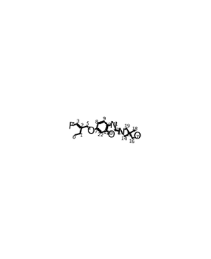 CC/C(=C\F)COc1ccc2nc(N3CC4(COC4)C3)oc2c1